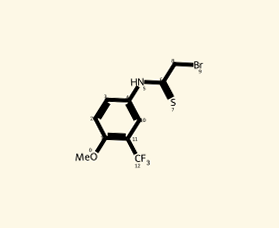 COc1ccc(NC(=S)CBr)cc1C(F)(F)F